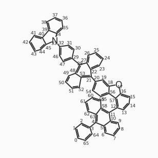 c1ccc(-c2c3ccccc3c(-c3cccc4oc5cc(-c6c7ccccc7c(-c7ccc(-n8c9ccccc9c9ccccc98)cc7)c7ccccc67)ccc5c34)c3ccccc23)cc1